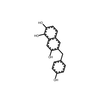 Oc1ccc(Cc2cc3ccc(O)c(O)c3cc2O)cc1